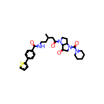 CC(CCNC(=O)c1ccc(-c2cccs2)cc1)CC(=O)N1CCC2C1C(=O)CN2C(=O)N1CCCCC1